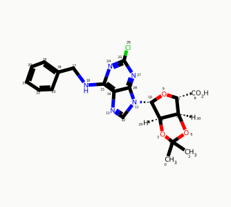 CC1(C)O[C@@H]2[C@H](O1)[C@@H](C(=O)O)O[C@H]2n1cnc2c(NCc3ccccc3)nc(Cl)nc21